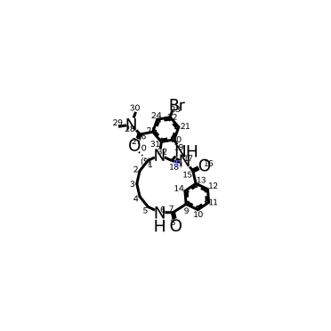 C[C@H]1CCCCNC(=O)c2cccc(c2)C(=O)/N=C2\Nc3cc(Br)cc(C(=O)N(C)C)c3N21